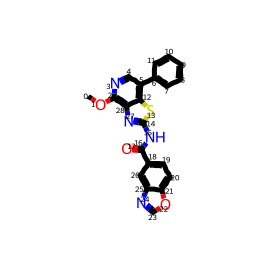 COc1ncc(-c2ccccc2)c2sc(NC(=O)c3ccc4ocnc4c3)nc12